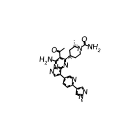 CC(=O)c1c([C@@H]2CCN(C(N)=O)[C@@H](C)C2)nc2c(-c3ccc(-c4cnn(C)c4)nc3)cnn2c1N